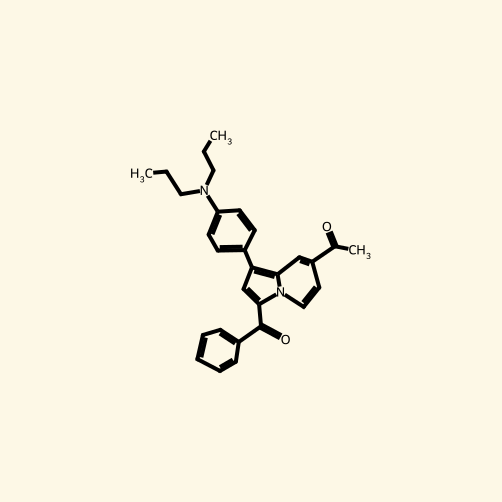 CCCN(CCC)c1ccc(-c2cc(C(=O)c3ccccc3)n3ccc(C(C)=O)cc23)cc1